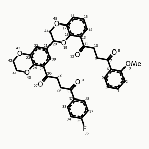 COc1ccccc1C(=O)CCC(=O)c1cccc2c1OC(c1cc3c(c(C(=O)CCC(=O)c4ccc(F)cc4)c1)OCCO3)CO2